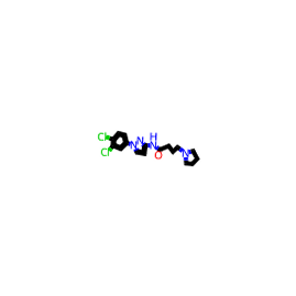 O=C(CCCN1CCCC1)Nc1ccn(-c2ccc(Cl)c(Cl)c2)n1